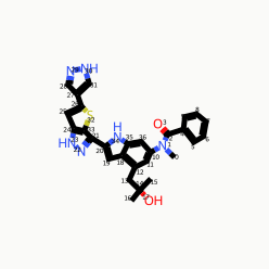 CN(C(=O)c1ccccc1)c1cc(CC(C)(C)O)c2cc(-c3n[nH]c4cc(-c5cn[nH]c5)sc34)[nH]c2c1